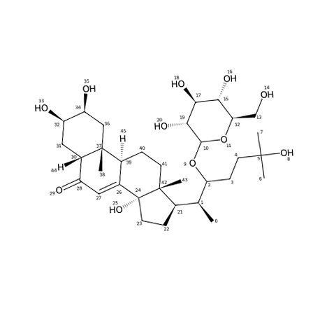 C[C@H](C(CCC(C)(C)O)OC1O[C@H](CO)[C@@H](O)[C@H](O)[C@H]1O)[C@H]1CC[C@@]2(O)C3=CC(=O)[C@@H]4C[C@@H](O)[C@@H](O)C[C@]4(C)[C@H]3CC[C@]12C